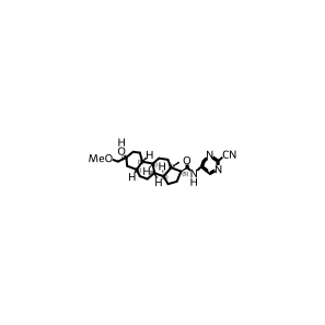 COC[C@@]1(O)CC[C@H]2[C@H](CC[C@@H]3[C@@H]2CC[C@]2(C)[C@@H](C(=O)Nc4cnc(C#N)nc4)CC[C@@H]32)C1